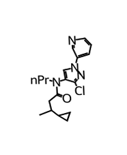 CCCN(C(=O)CC(C)C1CC1)c1cn(-c2cccnc2)nc1Cl